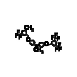 Cc1cc(COc2ccc([S+](C)c3ccc(OCc4cc(C(F)(F)F)cc(C(F)(F)F)c4)cc3)cc2)cc(C(F)(F)F)c1